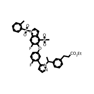 CCOC(=O)CCc1cccc(C(C)n2nccc2-c2cc(Oc3c(F)cc4c(ccn4S(=O)(=O)c4ccccc4C)c3S(C)(=O)=O)ccc2F)c1